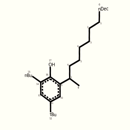 CCCCCCCCCCCCCCCCC(C)c1cc(C(C)(C)C)cc(CCCC)c1O